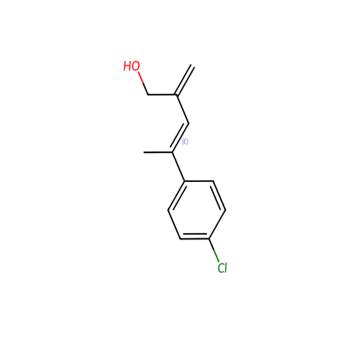 C=C(/C=C(\C)c1ccc(Cl)cc1)CO